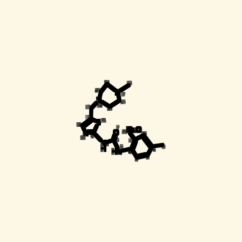 Cc1ccc(NC(=O)Nc2ncc(CN3CCN(C)CC3)s2)c(OCC(C)C)c1